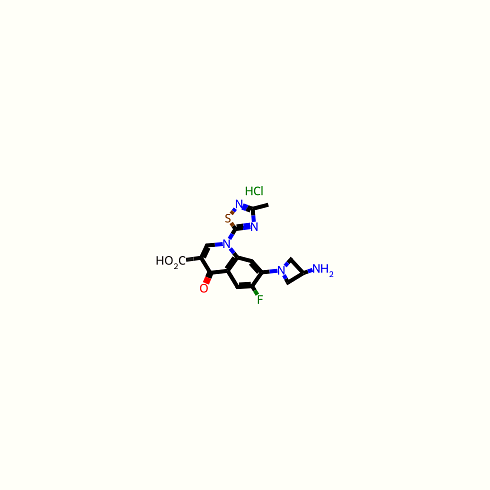 Cc1nsc(-n2cc(C(=O)O)c(=O)c3cc(F)c(N4CC(N)C4)cc32)n1.Cl